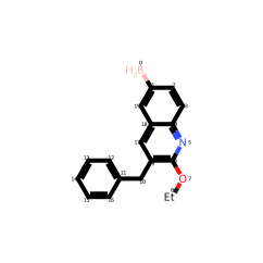 Bc1ccc2nc(OCC)c(Cc3ccccc3)cc2c1